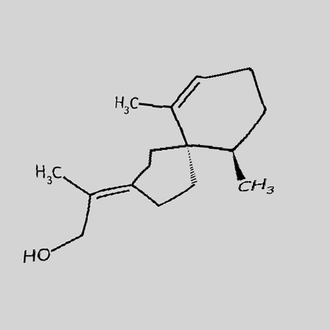 CC1=CCC[C@@H](C)[C@]12CC/C(=C(/C)CO)C2